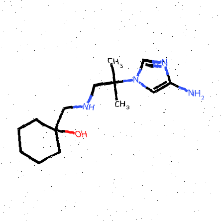 CC(C)(CNCC1(O)CCCCC1)n1cnc(N)c1